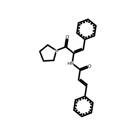 O=C(/C=C/c1ccccc1)NC(=Cc1ccccc1)C(=O)N1CCCC1